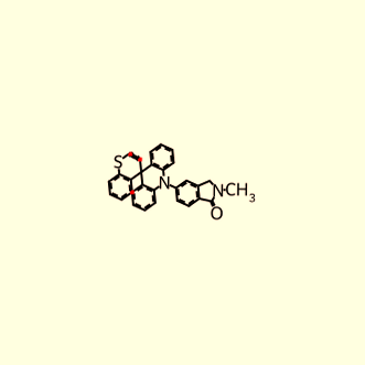 CN1Cc2cc(N3c4ccccc4C4(c5ccccc5Sc5ccccc54)c4ccccc43)ccc2C1=O